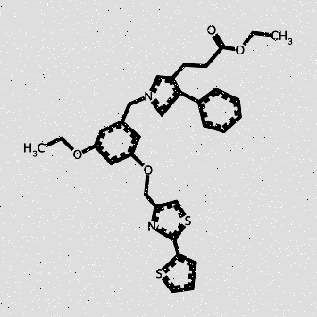 CCOC(=O)CCc1cn(Cc2cc(OCC)cc(OCc3csc(-c4cccs4)n3)c2)cc1-c1ccccc1